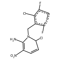 NC1=C([N+](=O)[O-])C=CC(Cl)N1Cc1c(F)ccc(F)c1Cl